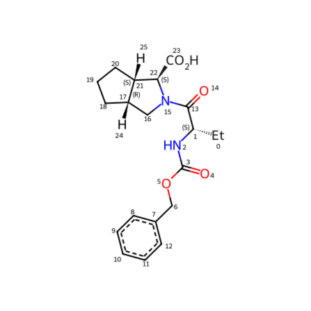 CC[C@H](NC(=O)OCc1ccccc1)C(=O)N1C[C@@H]2CCC[C@@H]2[C@H]1C(=O)O